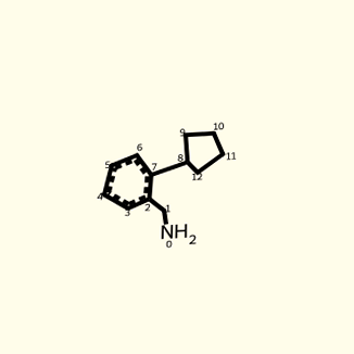 NCc1ccccc1C1CCCC1